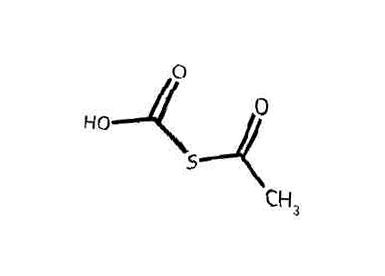 CC(=O)SC(=O)O